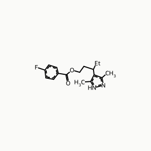 CCC(CCOC(=O)c1ccc(F)cc1)c1c(C)n[nH]c1C